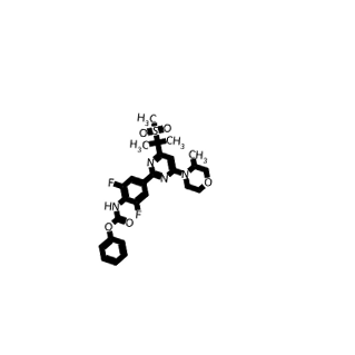 CC1COCCN1c1cc(C(C)(C)S(C)(=O)=O)nc(-c2cc(F)c(NC(=O)Oc3ccccc3)c(F)c2)n1